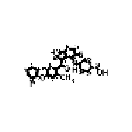 Cc1cc(Oc2ccccc2F)cnc1C(=O)c1c[nH]c2ncc(F)c(N[C@@H]3CC[C@@H](CO)OC3)c12